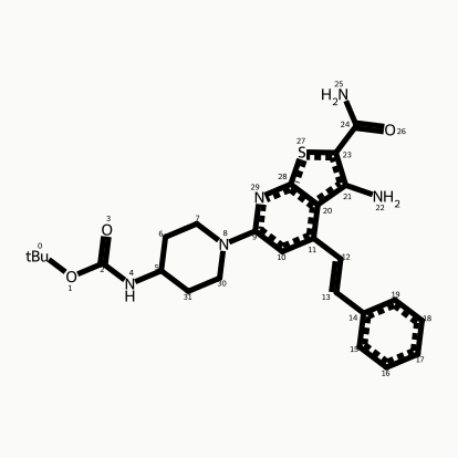 CC(C)(C)OC(=O)NC1CCN(c2cc(/C=C/c3ccccc3)c3c(N)c(C(N)=O)sc3n2)CC1